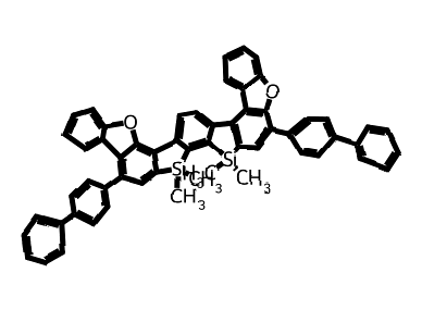 C[Si]1(C)c2cc(-c3ccc(-c4ccccc4)cc3)c3c(oc4ccccc43)c2-c2ccc3c(c21)[Si](C)(C)c1cc(-c2ccc(-c4ccccc4)cc2)c2oc4ccccc4c2c1-3